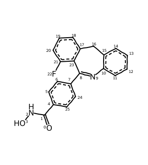 O=C(NO)c1ccc(C2=Nc3ccccc3Cc3cccc(F)c32)cc1